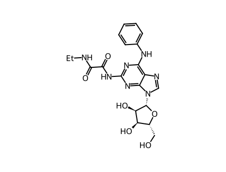 CCNC(=O)C(=O)Nc1nc(Nc2ccccc2)c2ncn([C@@H]3O[C@H](CO)[C@@H](O)[C@H]3O)c2n1